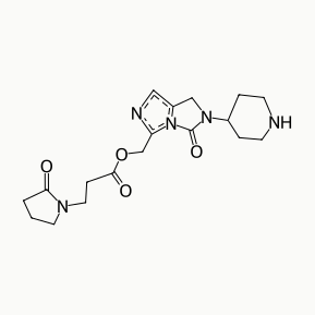 O=C(CCN1CCCC1=O)OCc1ncc2n1C(=O)N(C1CCNCC1)C2